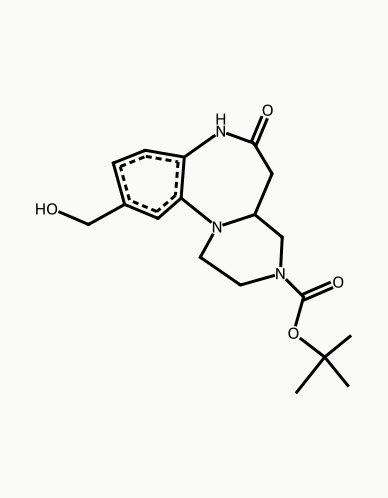 CC(C)(C)OC(=O)N1CCN2c3cc(CO)ccc3NC(=O)CC2C1